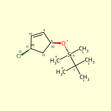 CC(C)(C)[Si](C)(C)O[C@@H]1C=C[C@H](Cl)C1